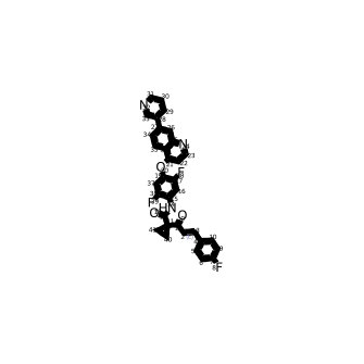 O=C(/C=C/c1ccc(F)cc1)C1(C(=O)Nc2cc(F)c(Oc3ccnc4cc(-c5cccnc5)ccc34)cc2F)CC1